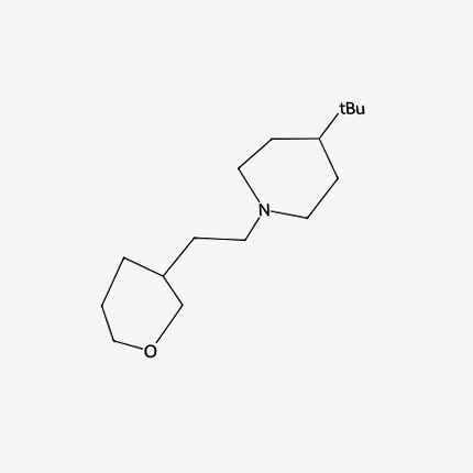 CC(C)(C)C1CCN(CCC2CCCOC2)CC1